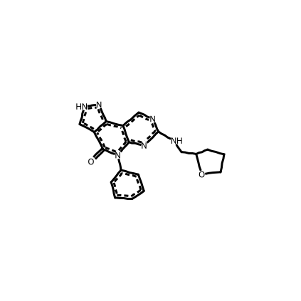 O=c1c2c[nH]nc2c2cnc(NCC3CCCO3)nc2n1-c1ccccc1